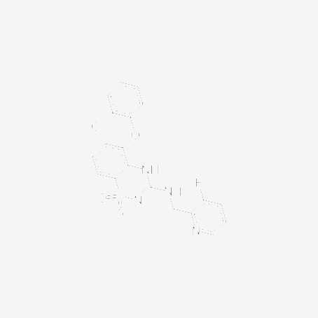 O=S1(=O)N=C(NCc2ncccc2F)Nc2c(Oc3ccccc3Cl)cccc21